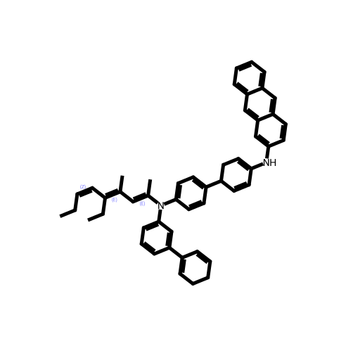 CC\C=C/C(CC)=C(C)/C=C(\C)N(c1ccc(C2C=CC(Nc3ccc4cc5ccccc5cc4c3)=CC2)cc1)c1cccc(C2=CCCC=C2)c1